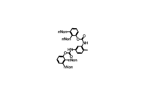 CCCCCCCCCc1cccc(OC(=O)Nc2ccc(C)c(NC(=O)Oc3cccc(CCCCCCCCC)c3CCCCCCCCC)c2)c1CCCCCCCCC